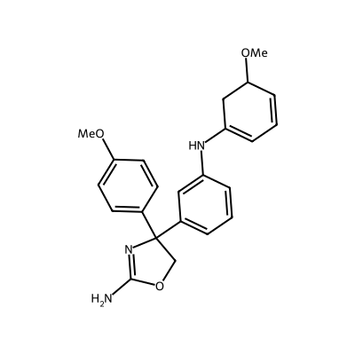 COc1ccc(C2(c3cccc(NC4=CC=CC(OC)C4)c3)COC(N)=N2)cc1